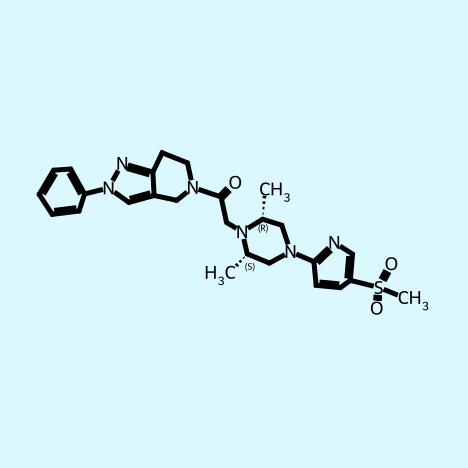 C[C@@H]1CN(c2ccc(S(C)(=O)=O)cn2)C[C@H](C)N1CC(=O)N1CCc2nn(-c3ccccc3)cc2C1